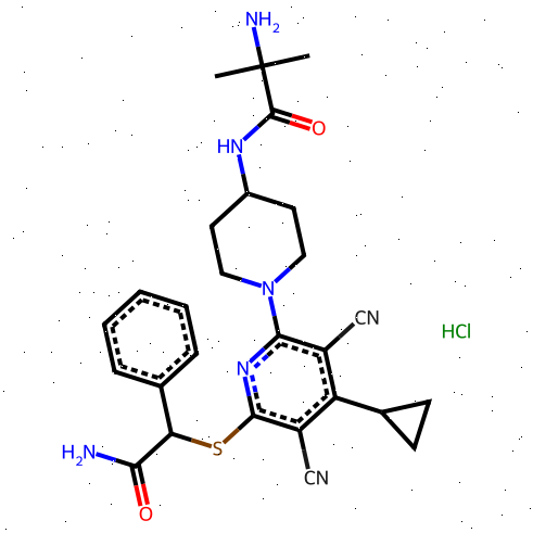 CC(C)(N)C(=O)NC1CCN(c2nc(SC(C(N)=O)c3ccccc3)c(C#N)c(C3CC3)c2C#N)CC1.Cl